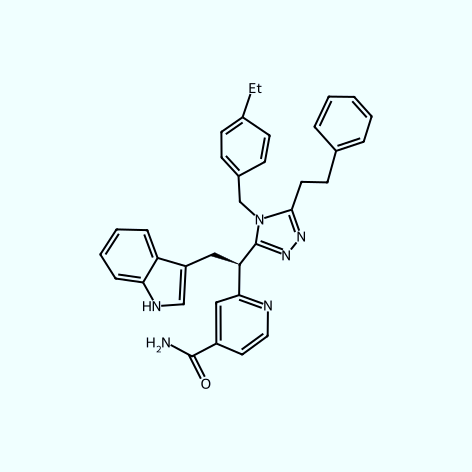 CCc1ccc(Cn2c(CCc3ccccc3)nnc2[C@H](Cc2c[nH]c3ccccc23)c2cc(C(N)=O)ccn2)cc1